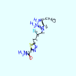 NC(=O)c1nnc(CCC(F)CN(N)/C=C(\N)C=O)s1